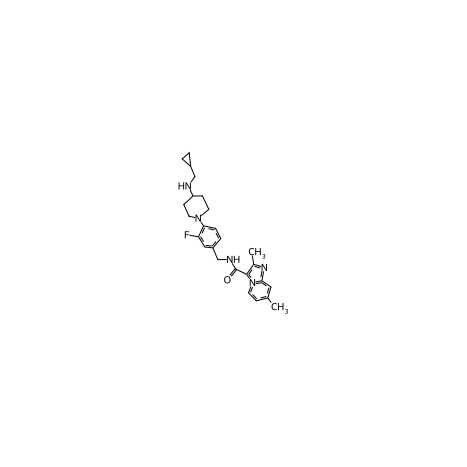 Cc1ccn2c(C(=O)NCc3ccc(N4CCC(NCC5CC5)CC4)c(F)c3)c(C)nc2c1